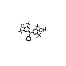 CC(C)(C)C1=CC(=C(c2ccccc2)c2cc(C(C)(C)C)c(O)c(C(C)(C)C)c2)C=C(C(C)(C)C)C1=O